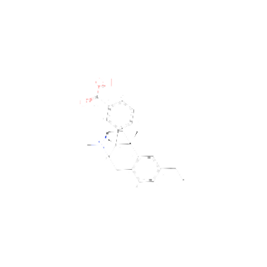 CCc1ccc2c(c1)[C@@]1(C)CCN(C)C(C2)[C@@H]1c1cccc(C(=O)O)c1